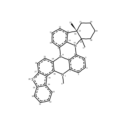 CN1c2cccc3c2B(c2cccc4c2N3C2(C)CCCC[C@@]42C)c2ccc3sc4ccccc4c3c21